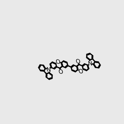 O=c1c2cc(-c3ccc4oc5ccc(-n6c7ccccc7c7ccccc76)cc5c(=O)c4c3)ccc2oc2ccc(-n3c4ccccc4c4ccccc43)cc12